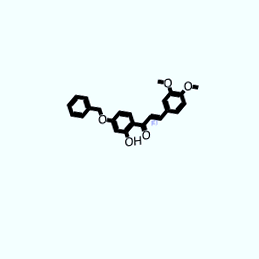 COc1ccc(/C=C/C(=O)c2ccc(OCc3ccccc3)cc2O)cc1OC